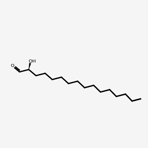 CCCCCCCCCCCCCC[C@H](O)C=O